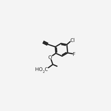 C#Cc1cc(Cl)c(F)cc1OC(C)C(=O)O